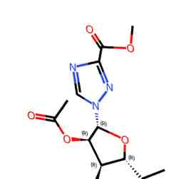 CC[C@H]1O[C@@H](n2cnc(C(=O)OC)n2)[C@H](OC(C)=O)[C@@H]1C